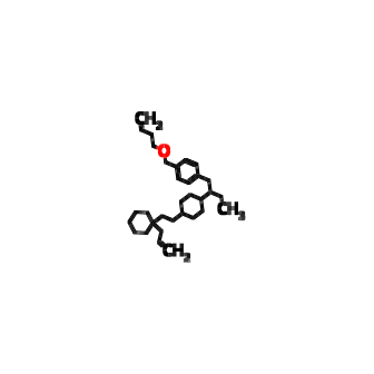 C=CCCOCc1ccc(CC(CC)C2CCC(CCC3(CC=C)CCCCC3)CC2)cc1